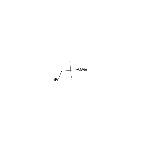 COC(F)(F)C[C](C)C